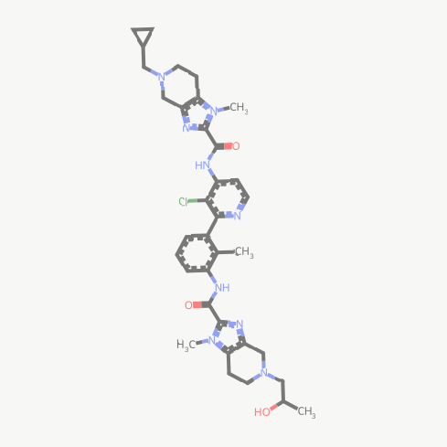 Cc1c(NC(=O)c2nc3c(n2C)CCN(CC(C)O)C3)cccc1-c1nccc(NC(=O)c2nc3c(n2C)CCN(CC2CC2)C3)c1Cl